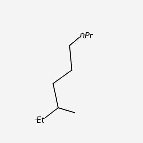 C[CH]C(C)CCCCCC